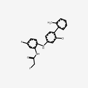 Cc1ccccc1-c1ccc(Nc2ccc(F)cc2NC(=O)CF)cc1Cl